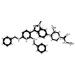 Cn1nc(-c2ccc(OCc3ccccc3)nc2OCc2ccccc2)c2ccc([C@@H]3CCN(C(=O)OC(C)(C)C)C[C@@H]3O)cc21